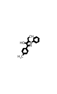 CCc1c(O)c(-c2ccc(C)cc2)nn1-c1ccccc1